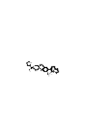 Cc1c(-c2ccc3c(c2)CCC2(CCN(C(=O)[C@H]4CCCO4)CC2)O3)ccc2nccn12